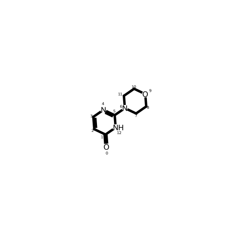 O=c1ccnc(N2CCOCC2)[nH]1